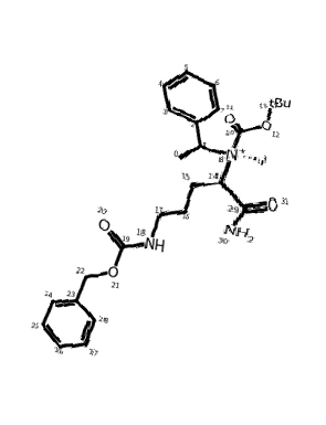 CC(c1ccccc1)[N@@+](C)(C(=O)OC(C)(C)C)[C@H](CCCNC(=O)OCc1ccccc1)C(N)=O